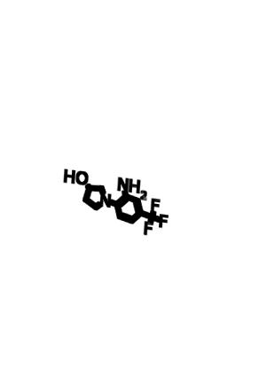 Nc1cc(C(F)(F)F)ccc1N1CCC(O)C1